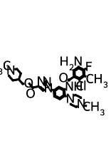 Cc1c(F)c(N)cc(C(=O)Nc2cc(-n3cc(C(=O)OCC4CCN(C)CC4)nn3)ccc2N2CCN(C)CC2)c1Cl